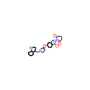 O=C1c2ccc(O[C@H]3CCN(Cc4ccnc5ccccc45)C3)cc2CN1N1C(=O)CCCC1=O